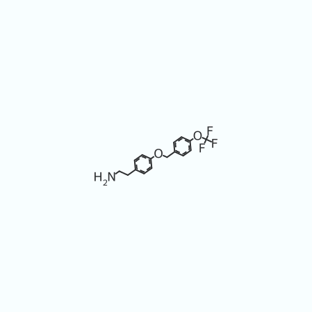 NCCc1ccc(OCc2ccc(OC(F)(F)F)cc2)cc1